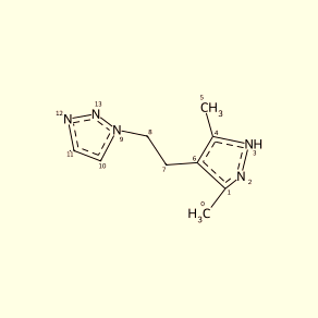 Cc1n[nH]c(C)c1CCn1c[c]nn1